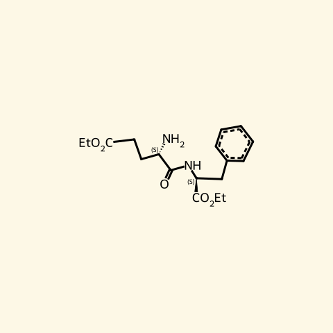 CCOC(=O)CC[C@H](N)C(=O)N[C@@H](Cc1ccccc1)C(=O)OCC